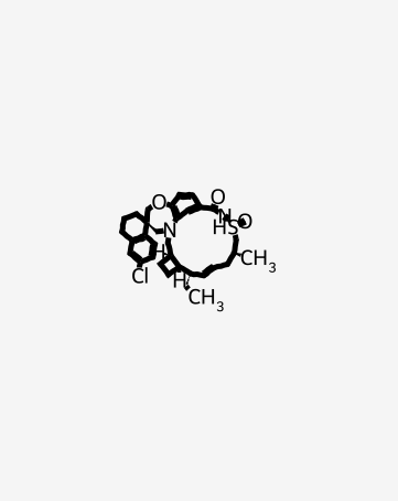 CC[C@H]1/C=C/C[C@H](C)C/[SH](=O)=N\C(=O)c2ccc3c(c2)N(C[C@@H]2CC[C@H]21)C[C@@]1(CCCc2cc(Cl)ccc21)CO3